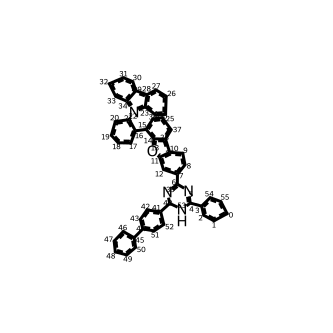 c1ccc(C2=NC(c3ccc4c(c3)oc3c(-c5ccccc5-n5c6ccccc6c6ccccc65)cccc34)=NC(c3ccc(-c4ccccc4)cc3)N2)cc1